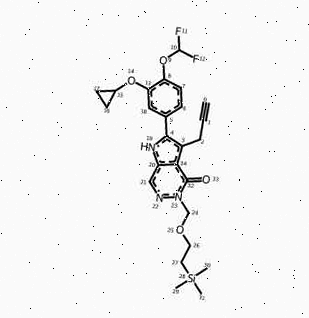 C#CCc1c(-c2ccc(OC(F)F)c(OC3CC3)c2)[nH]c2cnn(COCC[Si](C)(C)C)c(=O)c12